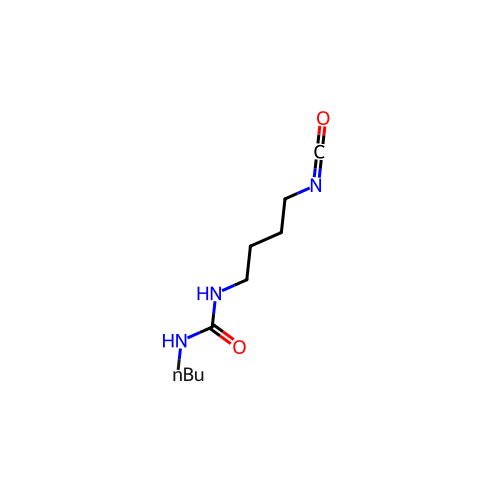 CCCCNC(=O)NCCCCN=C=O